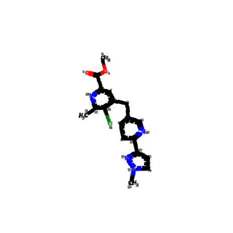 COC(=O)c1cc(Cc2ccc(-c3ccn(C)n3)nc2)c(Cl)c(C)n1